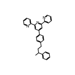 CC(CCc1ccc(-c2cc(-c3ccccn3)nc(-c3ccccn3)c2)cc1)c1ccccc1